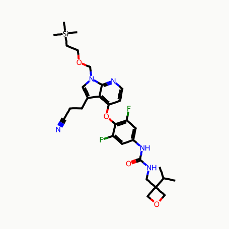 CC(C)C1(CNC(=O)Nc2cc(F)c(Oc3ccnc4c3c(CCC#N)cn4COCC[Si](C)(C)C)c(F)c2)COC1